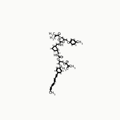 C=C(C)C(=O)OCC(COc1ccc(C)cc1)OC(=O)NCC1CCCC(CNC(=O)OC(COC(=O)C(=C)C)COc2ccc(C#CC#CC#CC#CC)cc2)C1